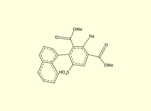 COC(=O)c1cc(S(=O)(=O)O)c(-c2cccc3ccccc23)c(C(=O)OC)[c]1[Na]